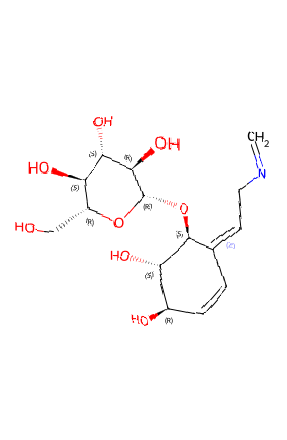 C=NC/C=C1/C=C[C@@H](O)[C@H](O)[C@H]1O[C@@H]1O[C@H](CO)[C@@H](O)[C@H](O)[C@H]1O